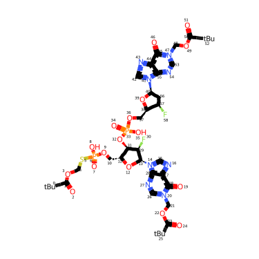 CC(C)(C)C(=O)OCSP(=O)(O)OC[C@H]1O[C@@H](n2cnc3c(=O)n(COC(=O)C(C)(C)C)cnc32)[C@H](F)[C@@H]1OP(=O)(O)OC[C@H]1O[C@@H](n2cnc3c(=O)n(COC(=O)C(C)(C)C)cnc32)C[C@H]1F